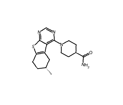 C[C@@H]1CCc2sc3ncnc(N4CCC(C(N)=O)CC4)c3c2C1